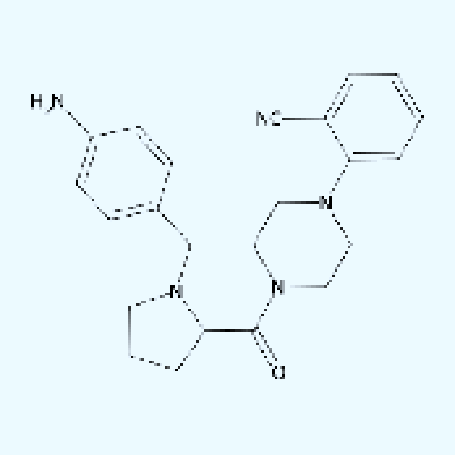 N#Cc1ccccc1N1CCN(C(=O)C2CCCN2Cc2ccc(N)cc2)CC1